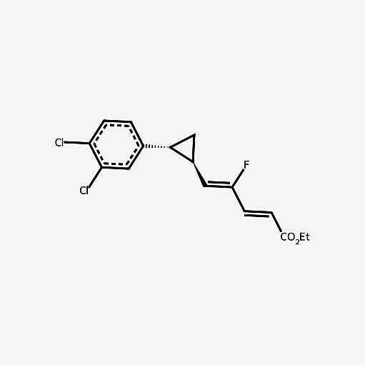 CCOC(=O)/C=C/C(F)=C/[C@@H]1C[C@H]1c1ccc(Cl)c(Cl)c1